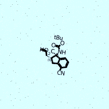 C=CC[C@H]1Cc2c(C#N)cccc2[C@@]1(NC(=O)OC(C)(C)C)C(=O)O